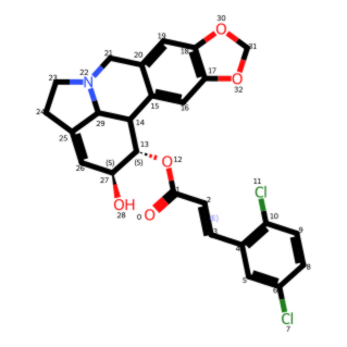 O=C(/C=C/c1cc(Cl)ccc1Cl)O[C@H]1C2c3cc4c(cc3CN3CCC(=C[C@@H]1O)C23)OCO4